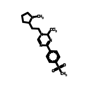 CN1CCCC1CCN1C=NC(c2ccc(S(C)(=O)=O)cc2)=NC1C(Cl)(Cl)Cl